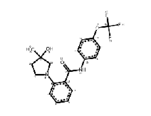 CC1(O)CCN(c2ccccc2C(=O)Nc2ccc(OC(F)(F)F)cc2)C1